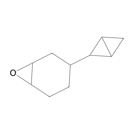 C1CC2OC2CC1C1C2CC21